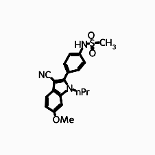 CCCn1c(-c2ccc(NS(C)(=O)=O)cc2)c(C#N)c2ccc(OC)cc21